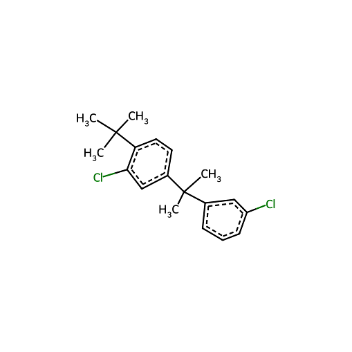 CC(C)(C)c1ccc(C(C)(C)c2cccc(Cl)c2)cc1Cl